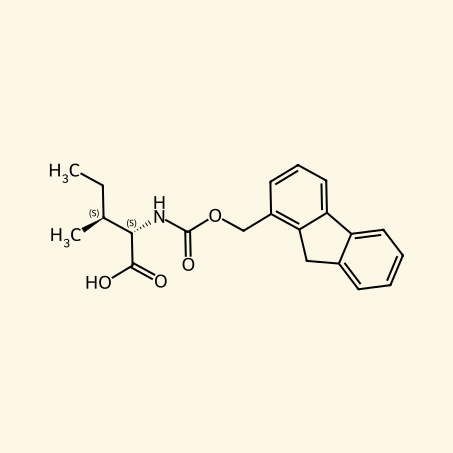 CC[C@H](C)[C@H](NC(=O)OCc1cccc2c1Cc1ccccc1-2)C(=O)O